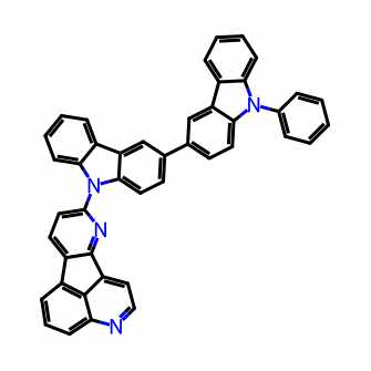 c1ccc(-n2c3ccccc3c3cc(-c4ccc5c(c4)c4ccccc4n5-c4ccc5c(n4)-c4ccnc6cccc-5c46)ccc32)cc1